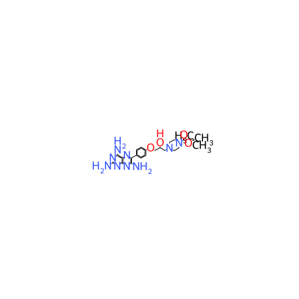 CC(C)(C)OC(=O)N1CCN(CC(O)COc2ccc(-c3nc4c(N)nc(N)nc4nc3N)cc2)CC1